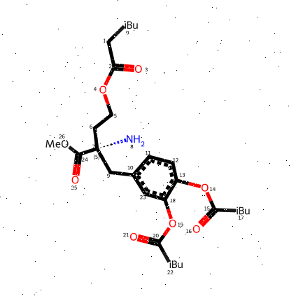 CCC(C)CC(=O)OCC[C@@](N)(Cc1ccc(OC(=O)C(C)CC)c(OC(=O)C(C)CC)c1)C(=O)OC